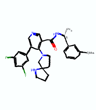 COc1cccc([C@@H](C)NC(=O)c2cncc(-c3cc(F)cc(F)c3)c2N2CCC3(CCCN3)C2)c1